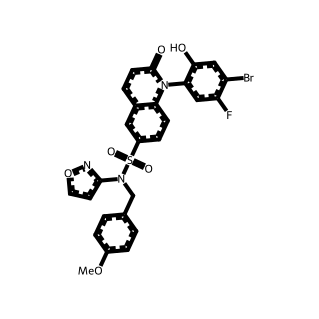 COc1ccc(CN(c2ccon2)S(=O)(=O)c2ccc3c(ccc(=O)n3-c3cc(F)c(Br)cc3O)c2)cc1